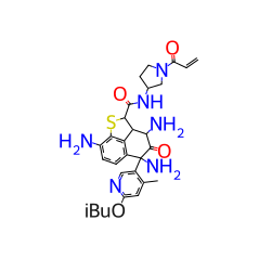 C=CC(=O)N1CCC(NC(=O)C2Sc3c(N)ccc4c3C2C(N)C(=O)C4(N)c2cnc(OCC(C)C)cc2C)C1